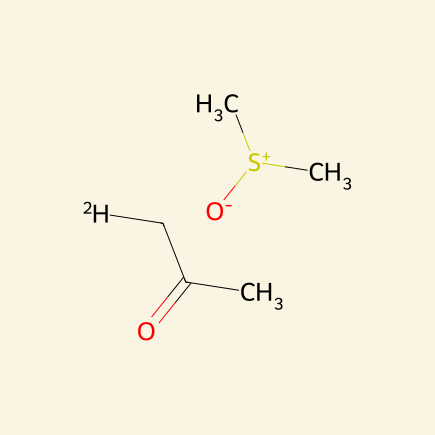 C[S+](C)[O-].[2H]CC(C)=O